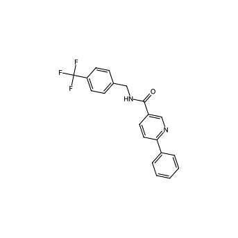 O=C(NCc1ccc(C(F)(F)F)cc1)c1ccc(-c2ccccc2)nc1